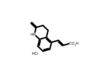 C=C1CCc2c(C=CC(=O)O)cccc2N1.Cl